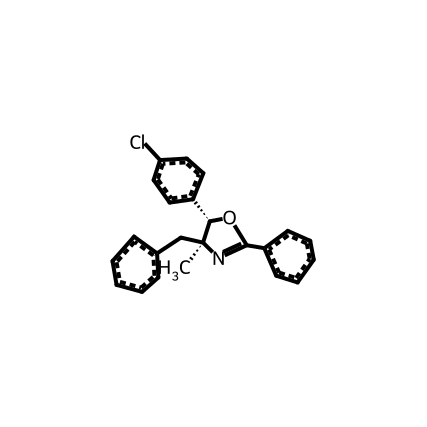 C[C@@]1(Cc2ccccc2)N=C(c2ccccc2)O[C@H]1c1ccc(Cl)cc1